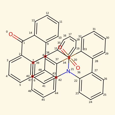 O=C1c2ccccc2C2(c3ccccc31)c1ccccc1N(c1ccccc1-c1ccccc1S(=O)(=O)c1ccccc1)c1ccccc12